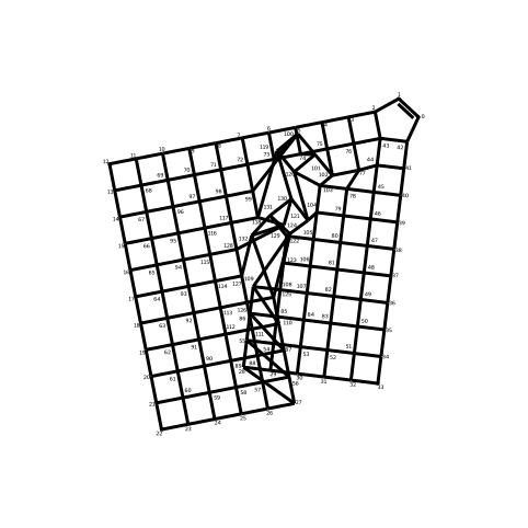 C1=CC2C3C4C5C6C7C8C9C%10C%11CC%12C%13C%14C%15C%16C%17C%18C%19C%20CC%21C%22C%23C%24C%25C%26C%27C%28C%29C%30CC%31C%32C%33C%34C%35C%36C%37C%38C1C21C%382C%37%38C%36%37C%35%36C%34%35C%33%34C%32%33C%31%30C%29%30C%28%29C%27%28C%26%27C%25%26C%24%25C%23%24C%22%23C%20%21C%19%20C%18%19C%17%18C%16%17C%15%16C%14%15C%13%14C%12%11C%10%11C9%10C89C78C67C56C45C31C21C%382C%373C%364C%35%12C%34%13C%33%30C%29%21C%28%22C%27%28C%26%27C%25%26C%24%25C%20%23C%19%20C%18%19C%17%18C%16%17C%15%16C%14%11C%10%11C9%10C89C78C67C51C21C32C43C%124C%13%21C%225C%286C%27%12C%26%13C%20%25C%19%14C%18%15C%17%18C%16%11C%10%11C9%10C89C71C21C32C45C63C%124C%14%13C%155C%18%11C%106C91C23C564